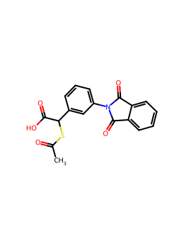 CC(=O)SC(C(=O)O)c1cccc(N2C(=O)c3ccccc3C2=O)c1